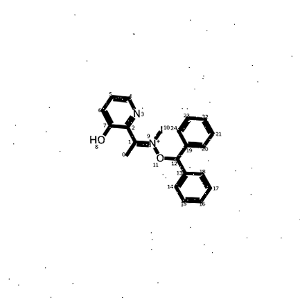 CC(c1ncccc1O)=[N+](I)OC(c1ccccc1)c1ccccc1